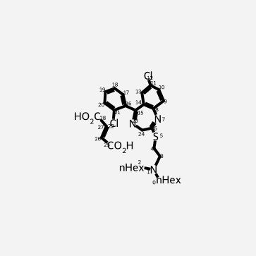 CCCCCCN(CCCCCC)CCSC1=Nc2ccc(Cl)cc2C(c2ccccc2Cl)=NC1.O=C(O)/C=C/C(=O)O